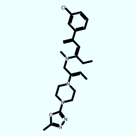 C=C(/C=C(/CC)N(C)CC(=CC)N1CCN(c2nnc(C)o2)CC1)c1cccc(Cl)c1